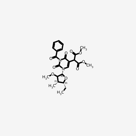 CC[C@H]1O[C@@H](n2cc(C(C(=O)OC)C(=O)OC)c(=O)n(C(=O)c3ccccc3)c2=O)C(OC)[C@H]1C